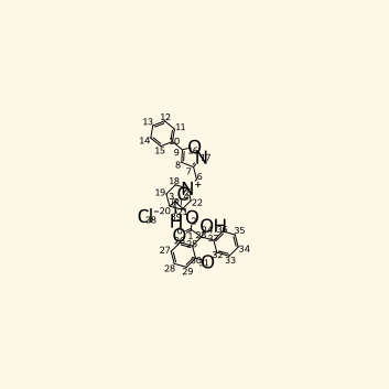 O=C(O[C@H]1C[N+]2(Cc3cc(-c4ccccc4)on3)CCC1CC2)C1(O)c2ccccc2Oc2ccccc21.[Cl-]